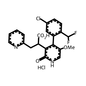 COc1c[nH]c(=O)c(C(Cc2ccccn2)C(=O)O)c1-c1cc(Cl)ccc1C(F)F.Cl